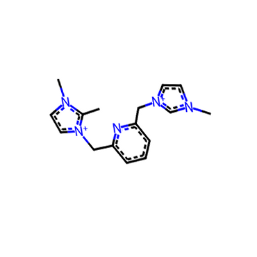 Cc1n(C)cc[n+]1Cc1cccc(C[n+]2ccn(C)c2)n1